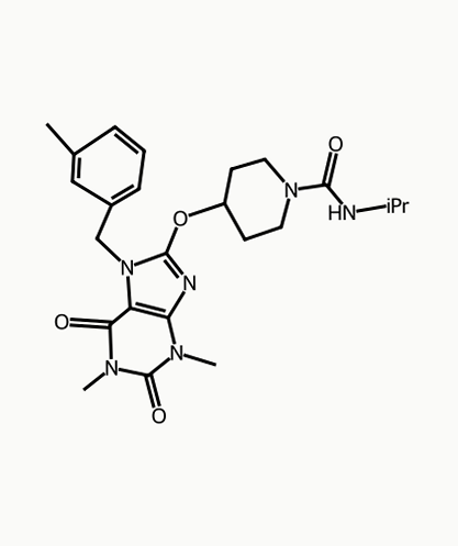 Cc1cccc(Cn2c(OC3CCN(C(=O)NC(C)C)CC3)nc3c2c(=O)n(C)c(=O)n3C)c1